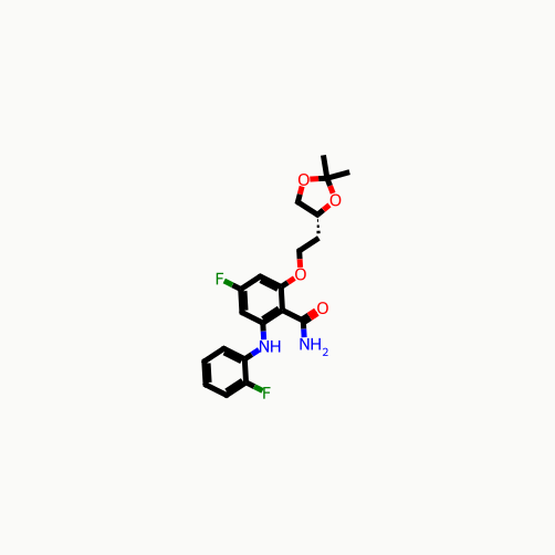 CC1(C)OC[C@@H](CCOc2cc(F)cc(Nc3ccccc3F)c2C(N)=O)O1